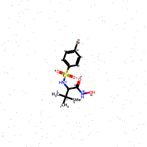 CSC(C)(C)C(NS(=O)(=O)c1ccc(Br)cc1)C(=O)NO